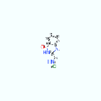 O=c1[nH]c(CNCl)nc2ccccc12